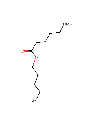 COCCCCC(=O)OCCCCC(C)C